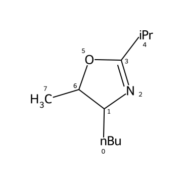 CCCCC1N=C(C(C)C)OC1C